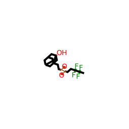 CC(F)(F)C(F)(F)CCS(=O)(=O)CCC12CC3CC(CC(O)(C3)C1)C2